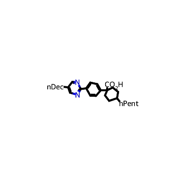 CCCCCCCCCCc1cnc(-c2ccc(C3(C(=O)O)CCC(CCCCC)CC3)cc2)nc1